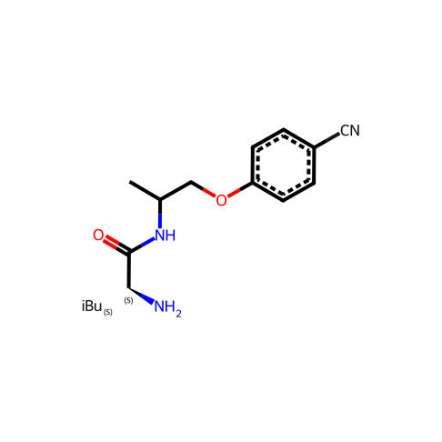 CC[C@H](C)[C@H](N)C(=O)NC(C)COc1ccc(C#N)cc1